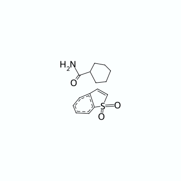 NC(=O)C1CCCCC1.O=S1(=O)C=Cc2ccccc21